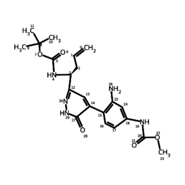 C=CC[C@H](NC(=O)OC(C)(C)C)c1cc(-c2ccc(NC(=O)OC)cc2N)c(=O)[nH]n1